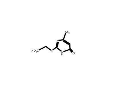 O=C(O)CSc1nc(C(F)(F)F)cc(=O)[nH]1